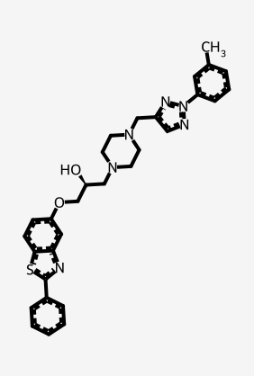 Cc1cccc(-n2ncc(CN3CCN(C[C@H](O)COc4ccc5sc(-c6ccccc6)nc5c4)CC3)n2)c1